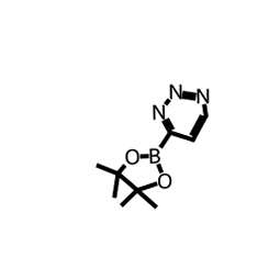 CC1(C)OB(c2ccnnn2)OC1(C)C